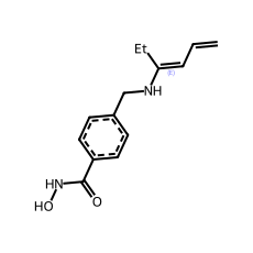 C=C/C=C(\CC)NCc1ccc(C(=O)NO)cc1